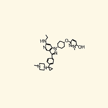 CCNc1cc2c(cn1)c(-c1ccc(C3(N4CCN(C)CC4)CC3)cc1)nn2[C@H]1CC[C@@H](OC2=NN(C)C(O)C=C2)CC1